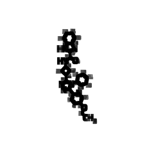 CCOc1ccc(-c2nnc(C3CC(NC(=O)c4nc5ccccc5[nH]4)C3)n2-c2ccccc2)nc1